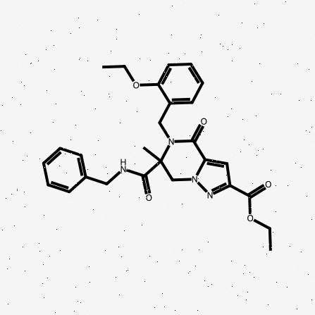 CCOC(=O)c1cc2n(n1)CC(C)(C(=O)NCc1ccccc1)N(Cc1ccccc1OCC)C2=O